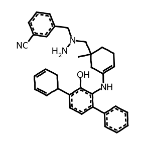 CC1(CN(N)Cc2cccc(C#N)c2)CCC=C(Nc2c(-c3ccccc3)ccc(C3C=CC=CC3)c2O)C1